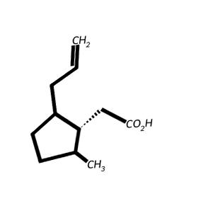 C=CCC1CCC(C)[C@H]1CC(=O)O